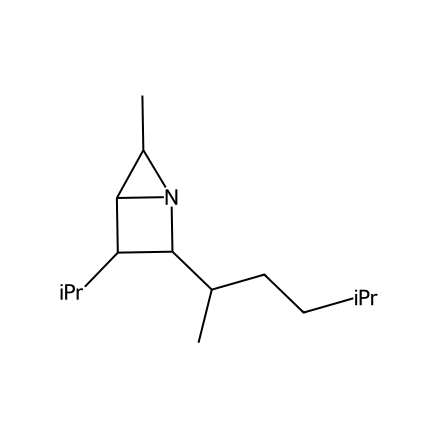 CC(C)CCC(C)C1C(C(C)C)C2C(C)N12